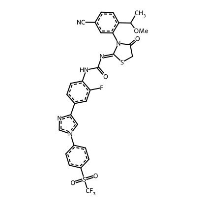 COC(C)c1ccc(C#N)cc1N1C(=O)CS/C1=N\C(=O)Nc1ccc(-c2cn(-c3ccc(S(=O)(=O)C(F)(F)F)cc3)cn2)cc1F